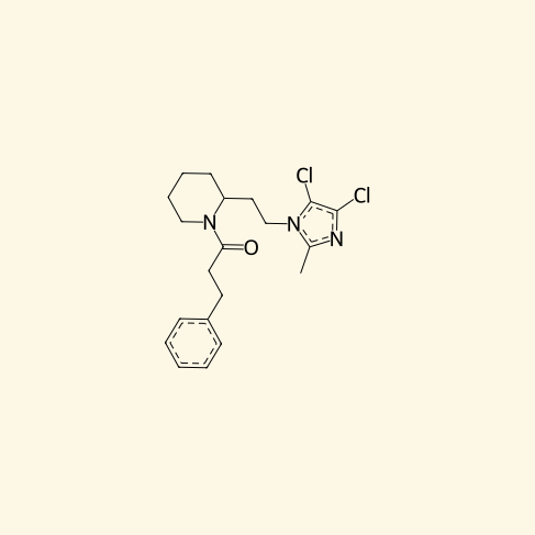 Cc1nc(Cl)c(Cl)n1CCC1CCCCN1C(=O)CCc1ccccc1